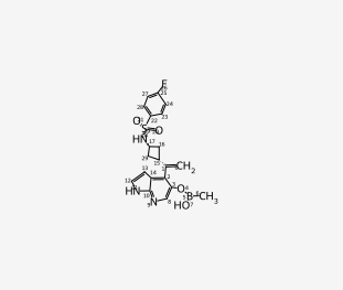 C=C(c1c(OB(C)O)cnc2[nH]ccc12)[C@H]1C[C@H](NS(=O)(=O)c2ccc(F)cc2)C1